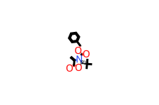 C=C1C(=O)O[C@H](C(C)(C)C)N1C(=O)OCc1ccccc1